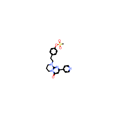 CS(=O)(=O)Oc1ccc(CCN2CCCn3c2nc(-c2ccncc2)cc3=O)cc1